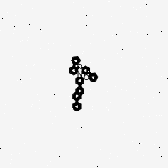 c1ccc(-c2ccc3cc(-c4ccc(N(c5cccc6c5oc5ccccc56)c5cccc6c5oc5ccccc56)cc4)ccc3c2)cc1